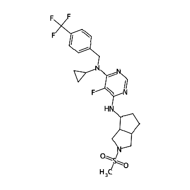 CS(=O)(=O)N1CC2CCC(Nc3ncnc(N(Cc4ccc(C(F)(F)F)cc4)C4CC4)c3F)C2C1